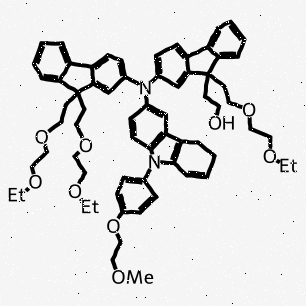 CCOCCOCCC1(CCO)c2ccccc2-c2ccc(N(c3ccc4c(c3)C(CCOCCOCC)(CCOCCOCC)c3ccccc3-4)c3ccc4c(c3)c3c(n4-c4ccc(OCCOC)cc4)C=CCC3)cc21